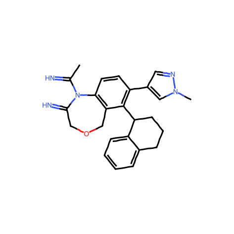 CC(=N)N1C(=N)COCc2c1ccc(-c1cnn(C)c1)c2C1CCCc2ccccc21